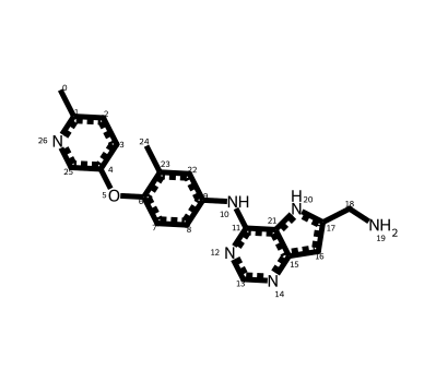 Cc1ccc(Oc2ccc(Nc3ncnc4cc(CN)[nH]c34)cc2C)cn1